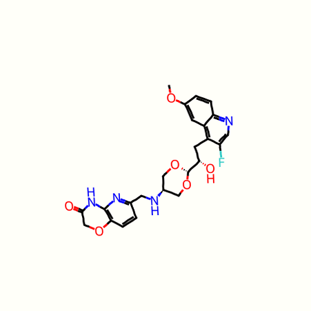 COc1ccc2ncc(F)c(C[C@H](O)[C@H]3OC[C@H](NCc4ccc5c(n4)NC(=O)CO5)CO3)c2c1